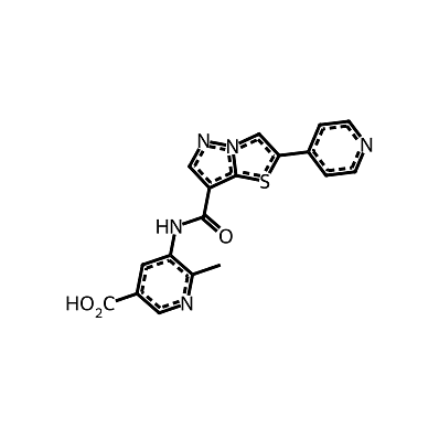 Cc1ncc(C(=O)O)cc1NC(=O)c1cnn2cc(-c3ccncc3)sc12